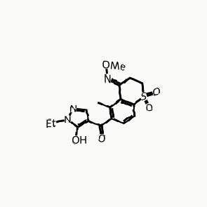 CCn1ncc(C(=O)c2ccc3c(c2C)C(=NOC)CCS3(=O)=O)c1O